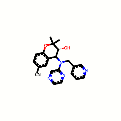 CC1(C)Oc2ccc(C#N)cc2C(N(Cc2cccnc2)c2cnccn2)[C@H]1O